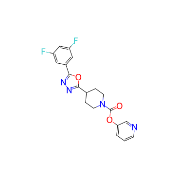 O=C(Oc1cccnc1)N1CCC(c2nnc(-c3cc(F)cc(F)c3)o2)CC1